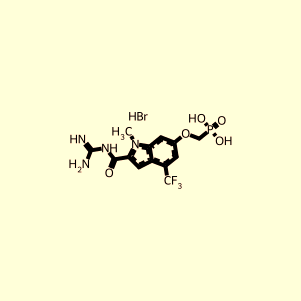 Br.Cn1c(C(=O)NC(=N)N)cc2c(C(F)(F)F)cc(OCP(=O)(O)O)cc21